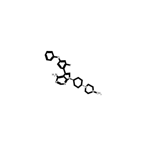 CN1CCN([C@H]2CC[C@H](n3cc(-c4ccc(Oc5ccccc5)cc4F)c4c(N)ncnc43)CC2)CC1